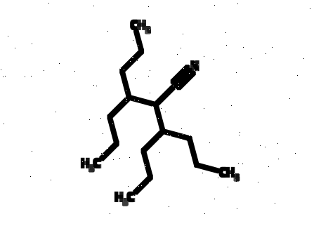 CCCC(CCC)C(C#N)C(CCC)CCC